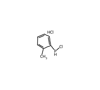 Cc1ccccc1PCl.Cl